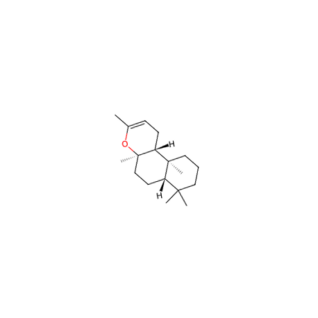 CC1=CC[C@@H]2[C@@]3(C)CCCC(C)(C)[C@@H]3CC[C@@]2(C)O1